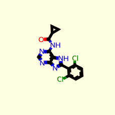 O=C(Nc1ncnc2nc(-c3c(Cl)cccc3Cl)[nH]c12)C1CC1